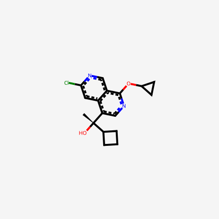 C[C@@](O)(c1cnc(OC2CC2)c2cnc(Cl)cc12)C1CCC1